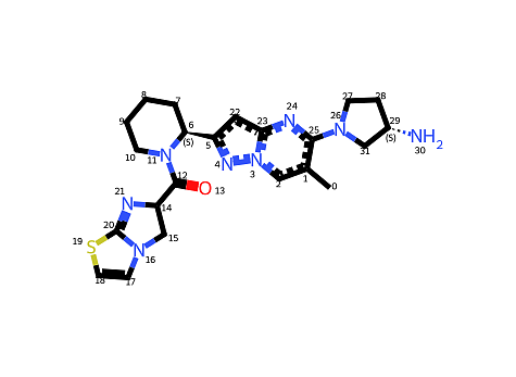 Cc1cn2nc([C@@H]3CCCCN3C(=O)C3CN4C=CSC4=N3)cc2nc1N1CC[C@H](N)C1